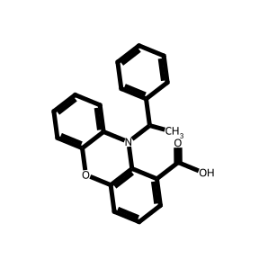 CC(c1ccccc1)N1c2ccccc2Oc2cccc(C(=O)O)c21